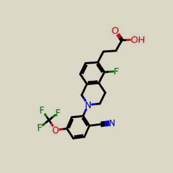 N#Cc1ccc(OC(F)(F)F)cc1N1CCc2c(ccc(CCC(=O)O)c2F)C1